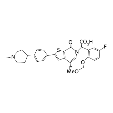 COCOc1ccc(F)cc1C(C(=O)O)n1cc(F)c2cc(-c3ccc(C4CCN(C)CC4)cc3)sc2c1=O